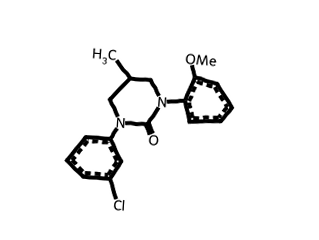 COc1ccccc1N1CC(C)CN(c2cccc(Cl)c2)C1=O